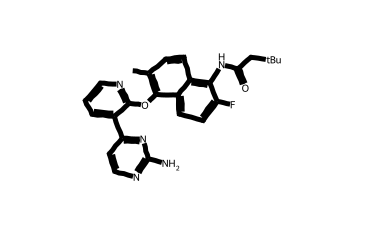 Cc1ccc2c(NC(=O)CC(C)(C)C)c(F)ccc2c1Oc1ncccc1-c1ccnc(N)n1